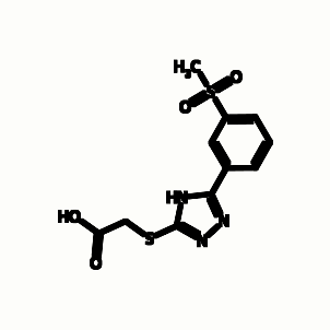 CS(=O)(=O)c1cccc(-c2nnc(SCC(=O)O)[nH]2)c1